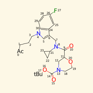 CC(=O)CCCn1cc(CN(C(=O)C2CN(C(=O)OC(C)(C)C)CCO2)C2CC2)c2cc(F)ccc21